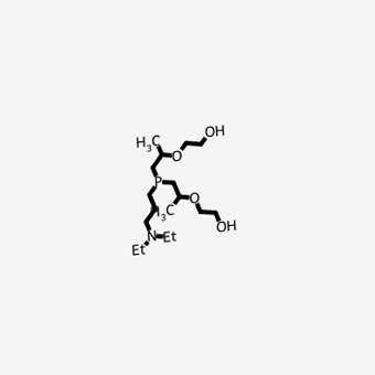 CCN(CC)CCCP(CC(C)OCCO)CC(C)OCCO